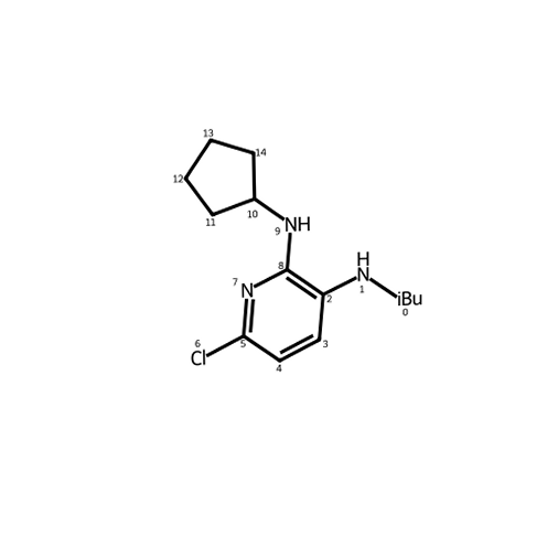 CCC(C)Nc1ccc(Cl)nc1NC1CCCC1